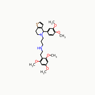 COc1cc(OC)c(CCNCCCN2CCc3sccc3C2c2ccc(OC)c(OC)c2)c(OC)c1